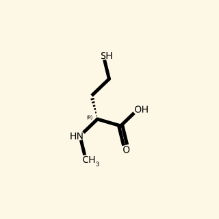 CN[C@H](CCS)C(=O)O